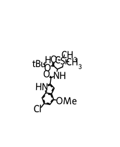 COc1cc(Cl)cc2[nH]c(C(=O)NC(C[Si](C)(C)C)C(=O)OC(C)(C)C)cc12